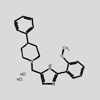 COc1ccccc1-c1ncc(CN2CCC(c3ccccc3)CC2)[nH]1.Cl.Cl